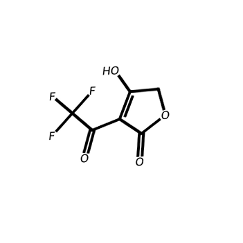 O=C1OCC(O)=C1C(=O)C(F)(F)F